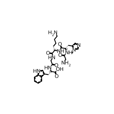 Cn1cncc1C[C@H](NC(=O)CN)C(=O)N[C@@H](CCCCN)C(=O)NCC(=O)N[C@@H](Cc1c[nH]c2ccccc12)C(=O)O